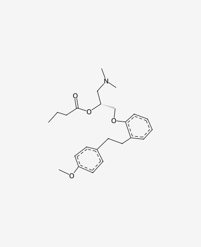 CCCC(=O)O[C@@H](COc1ccccc1CCc1ccc(OC)cc1)CN(C)C